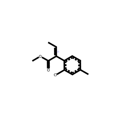 C/C=C(\C(=O)OC)c1ccc(C)cc1Cl